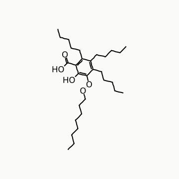 CCCCCCCCOOc1c(O)c(C(=O)O)c(CCCCC)c(CCCCC)c1CCCCC